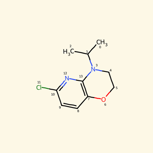 CC(C)N1CCOc2ccc(Cl)nc21